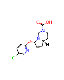 O=C(O)N1CC[C@@H]2CC[C@H](Oc3ccc(Cl)cn3)N2C1